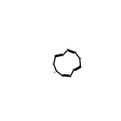 [C]1=C\C=C\C/C=C\C=C\CC/1